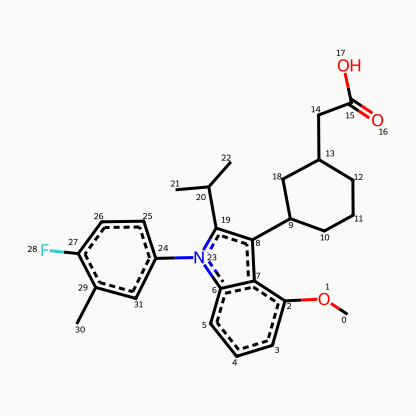 COc1cccc2c1c(C1CCCC(CC(=O)O)C1)c(C(C)C)n2-c1ccc(F)c(C)c1